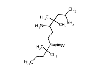 CCCC(C)(C)C(CCC(N)C(C)(C)CC(C)N)=[N+]=[N-]